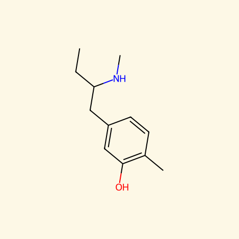 CCC(Cc1ccc(C)c(O)c1)NC